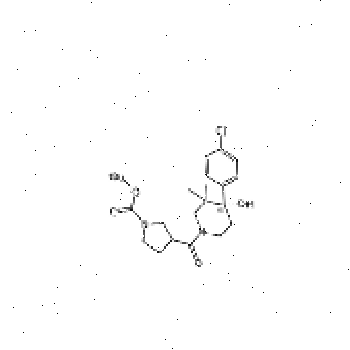 CC(C)(C)OC(=O)N1CCC(C(=O)N2CC[C@](O)(c3ccc(Cl)cc3)C(C)(C)C2)C1